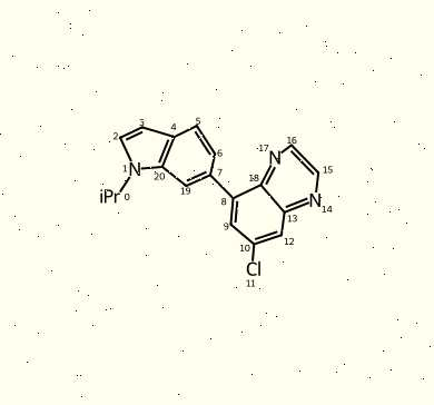 CC(C)n1ccc2ccc(-c3cc(Cl)cc4nccnc34)cc21